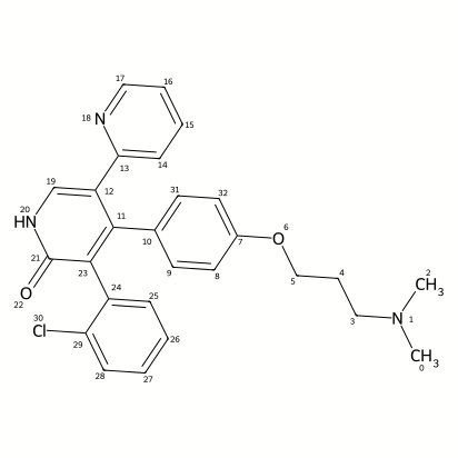 CN(C)CCCOc1ccc(-c2c(-c3ccccn3)c[nH]c(=O)c2-c2ccccc2Cl)cc1